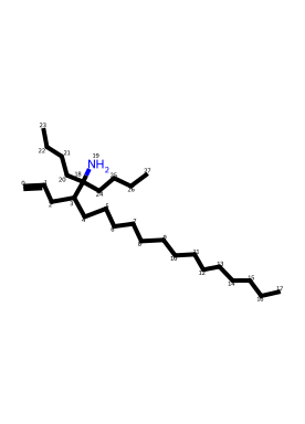 C=CCC(CCCCCCCCCCCCCC)C(N)(CCCC)CCCC